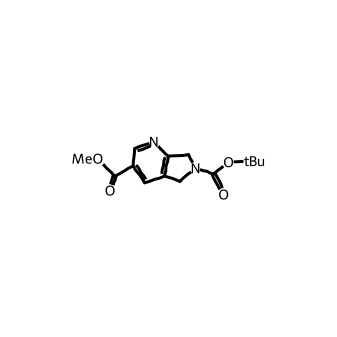 COC(=O)c1cnc2c(c1)CN(C(=O)OC(C)(C)C)C2